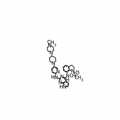 CN1CCN(C2CCN(c3ccc(Nc4nc(Nc5cccc6c5N(S(C)(=O)=O)CC6)c5cc[nH]c5n4)nc3)CC2)CC1